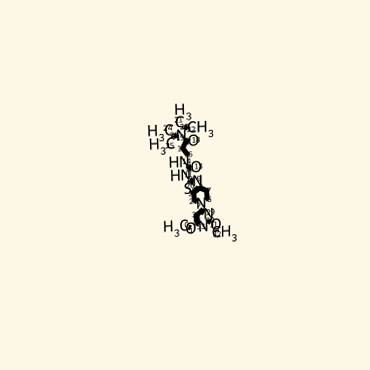 COc1cc(N2CCc3nc(NC(=O)NCCC(=O)N(C(C)C)C(C)C)sc3C2)nc(OC)n1